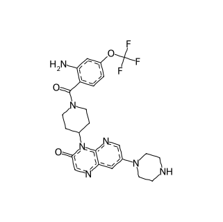 Nc1cc(OC(F)(F)F)ccc1C(=O)N1CCC(n2c(=O)cnc3cc(N4CCNCC4)cnc32)CC1